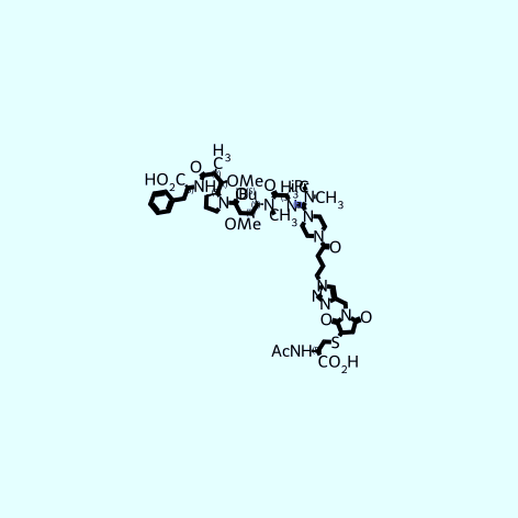 CC[C@H](C)[C@@H]([C@@H](CC(=O)N1CCC[C@H]1[C@H](OC)[C@@H](C)C(=O)N[C@@H](Cc1ccccc1)C(=O)O)OC)N(C)C(=O)[C@@H](/N=C(\N(C)C)N1CCN(C(=O)CCCn2cc(CN3C(=O)CC(SC[C@H](NC(C)=O)C(=O)O)C3=O)nn2)CC1)C(C)C